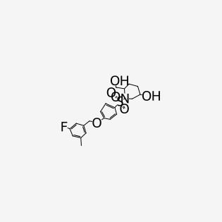 Cc1cc(F)cc(COc2ccc(S(=O)(=O)N3CC(O)CCC3C(=O)O)cc2)c1